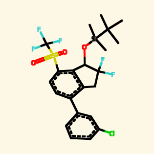 CC(C)(C)[Si](C)(C)OC1c2c(S(=O)(=O)C(F)(F)F)ccc(-c3cccc(Cl)c3)c2CC1(F)F